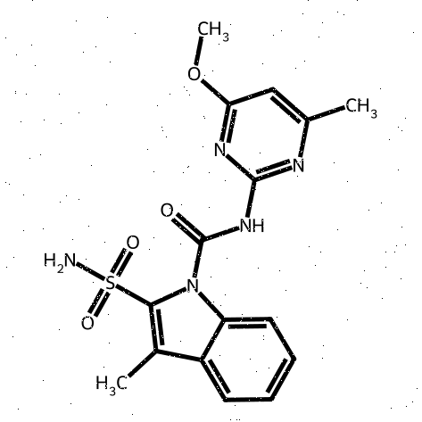 COc1cc(C)nc(NC(=O)n2c(S(N)(=O)=O)c(C)c3ccccc32)n1